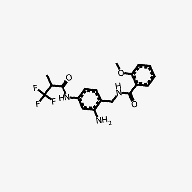 COc1ccccc1C(=O)NCc1ccc(NC(=O)C(C)C(F)(F)F)cc1N